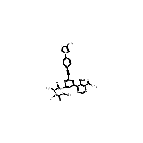 CNc1c(C(C)=N)ncnc1-c1cc(C#Cc2ccc(-n3cnc(C)c3)cc2)nc(NC(=O)C(C)N(C)C(=O)OC(C)(C)C)c1